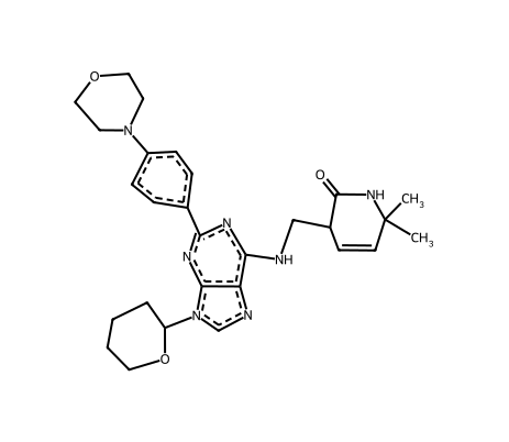 CC1(C)C=CC(CNc2nc(-c3ccc(N4CCOCC4)cc3)nc3c2ncn3C2CCCCO2)C(=O)N1